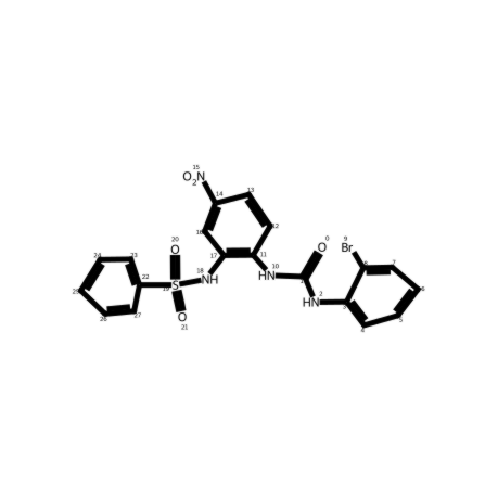 O=C(Nc1ccccc1Br)Nc1ccc([N+](=O)[O-])cc1NS(=O)(=O)c1ccccc1